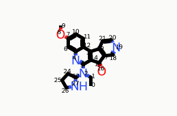 CCN(c1nc2cc(OC)ccc2c2c1C(=O)c1cnccc1-2)C1CCCN1